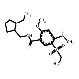 CCN1CCCC1CNC(=O)c1cc(S(=O)(=O)CC)c(NC)cc1OC